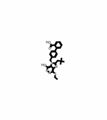 CCSc1nnc(O)c2c1nc(CC(C)(C)C)n2Cc1ccc(-c2ccccc2C(=O)O)cc1